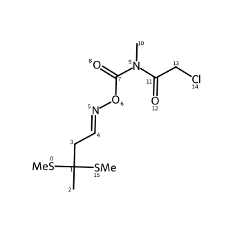 CSC(C)(CC=NOC(=O)N(C)C(=O)CCl)SC